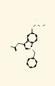 CCCO[PH](=O)Oc1ccc2c(c1)c(CC(N)=O)cn2Cc1ccccc1